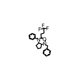 CN(Cc1ccccc1)C1CCCC1N(C(=O)CCC(F)(F)F)c1ccccc1